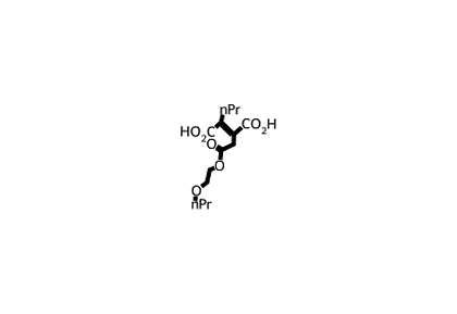 CCCOCCOC(=O)CC(C(=O)O)=C(CCC)C(=O)O